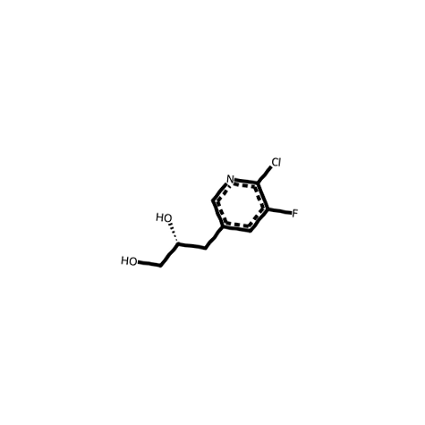 OC[C@H](O)Cc1cnc(Cl)c(F)c1